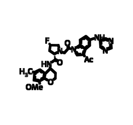 COc1cc(C)cc2c1OCCC2NC(=O)[C@@H]1C[C@@H](F)CN1CC(=O)n1cc(C(C)=O)c2cc(Nc3cncnc3)ccc21